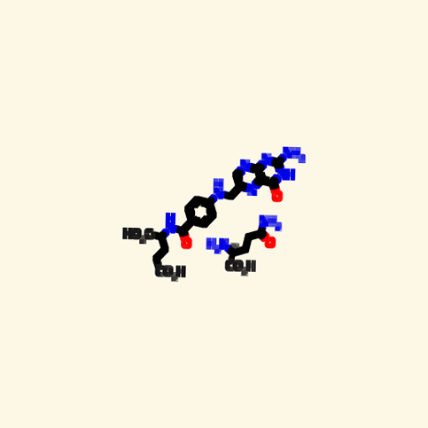 NC(=O)CC[C@H](N)C(=O)O.Nc1nc2ncc(CNc3ccc(C(=O)NC(CCC(=O)O)C(=O)O)cc3)nc2c(=O)[nH]1